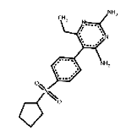 CCc1nc(N)nc(N)c1-c1ccc(S(=O)(=O)C2CCCC2)cc1